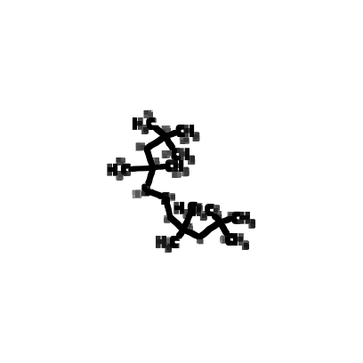 CC(C)(C)CC(C)(C)CSSC(C)(C)CC(C)(C)C